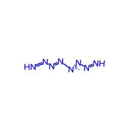 N=NN=N[N+]=NN=N